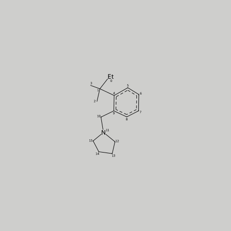 CCC(C)(C)c1ccccc1CN1CCCC1